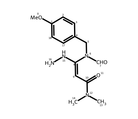 COc1ccc(CN(C=O)/C(=C\C(=O)N(C)C)NN)cc1